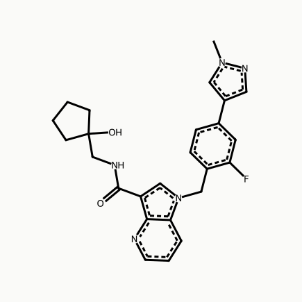 Cn1cc(-c2ccc(Cn3cc(C(=O)NCC4(O)CCCC4)c4ncccc43)c(F)c2)cn1